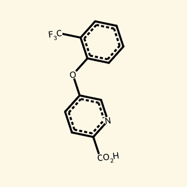 O=C(O)c1ccc(Oc2ccccc2C(F)(F)F)cn1